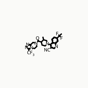 CC1CN(c2c(C#N)cnc3cc(C(C)(F)F)ccc23)CCC1C(=O)N1CCn2c(nnc2C(F)(F)F)C1